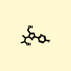 CC(O)C(C)n1nc(-c2ccc(F)cn2)cc1CO